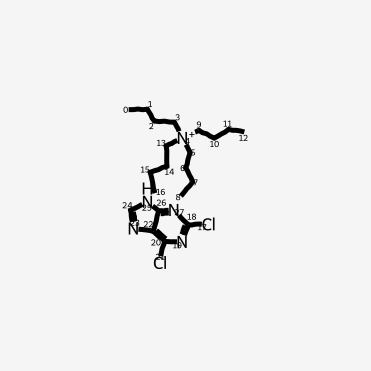 CCCC[N+](CCCC)(CCCC)CCCC.Clc1nc(Cl)c2nc[nH]c2n1